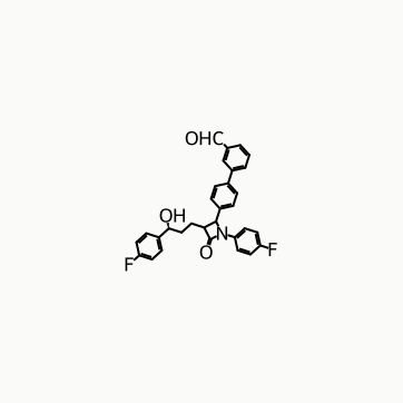 O=Cc1cccc(-c2ccc(C3C(CC[C@H](O)c4ccc(F)cc4)C(=O)N3c3ccc(F)cc3)cc2)c1